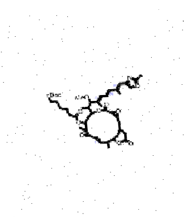 CCCCCCCCCCCCCCCC(=O)OC1CC(C(C)C(OC)/C(C)=C/C=C/C(C)=C/c2coc(C)n2)OC(=O)C2OC2CC2CC(=O)OC(C2)C(C)/C=C/C2OC21C